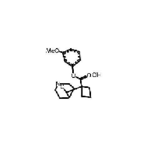 COc1cccc(OC(=O)C2(C3CN4CCC3CC4)CCC2)c1.Cl